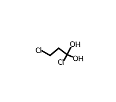 OC(O)(Cl)CCCl